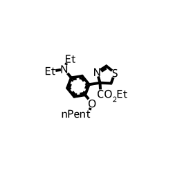 CCCCCOc1ccc(N(CC)CC)cc1C1(C(=O)OCC)CSC=N1